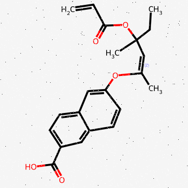 C=CC(=O)OC(C)(/C=C(/C)Oc1ccc2cc(C(=O)O)ccc2c1)CC